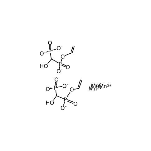 C=COP(=O)([O-])C(O)P(=O)([O-])[O-].C=COP(=O)([O-])C(O)P(=O)([O-])[O-].[Mn+2].[Mn+2].[Mn+2]